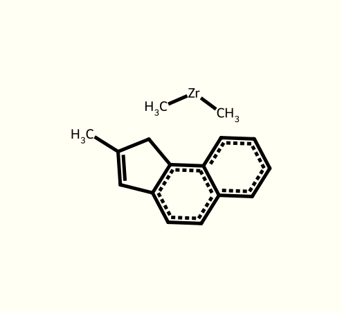 CC1=Cc2ccc3ccccc3c2C1.[CH3][Zr][CH3]